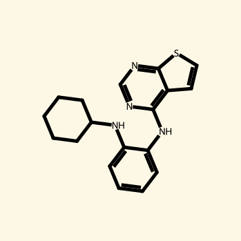 c1ccc(NC2CCCCC2)c(Nc2ncnc3sccc23)c1